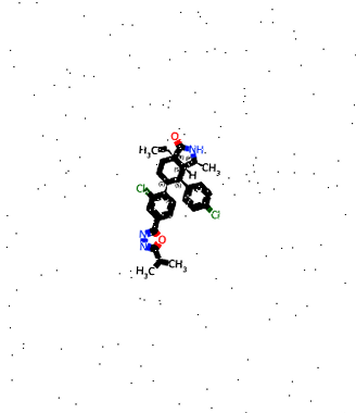 CC[C@@]12CC[C@@H](c3ccc(-c4nnc(C(C)C)o4)cc3Cl)[C@H](c3ccc(Cl)cc3)[C@@H]1[C@@H](C)NC2=O